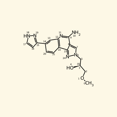 COC[C@@H](O)Cn1cc2c(N)nc3cc(-c4cc[nH]n4)ccc3c2n1